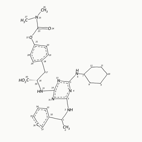 CC(Nc1nc(NC2CCCCC2)nc(N[C@@H](Cc2ccc(OC(=O)N(C)C)cc2)C(=O)O)n1)c1ccccc1